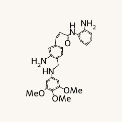 COc1cc(NCc2ccc(/C=C\C(=O)Nc3ccccc3N)cc2N)cc(OC)c1OC